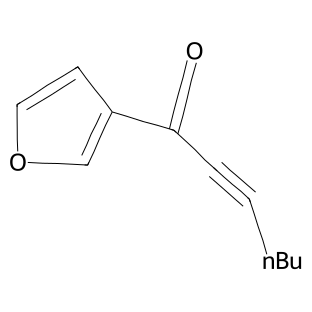 CCCCC#CC(=O)c1ccoc1